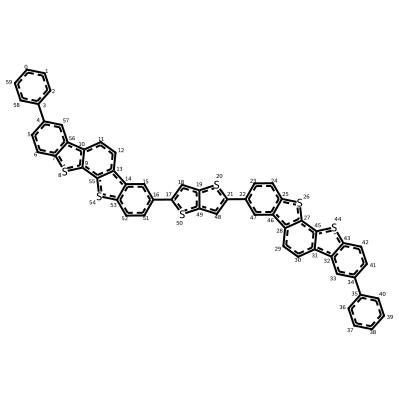 c1ccc(-c2ccc3sc4c(ccc5c6cc(-c7cc8sc(-c9ccc%10sc%11c(ccc%12c%13cc(-c%14ccccc%14)ccc%13sc%12%11)c%10c9)cc8s7)ccc6sc54)c3c2)cc1